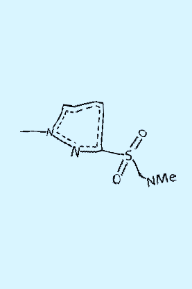 CNS(=O)(=O)c1ccn(C)n1